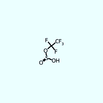 O=S(O)OC(F)(F)C(F)(F)F